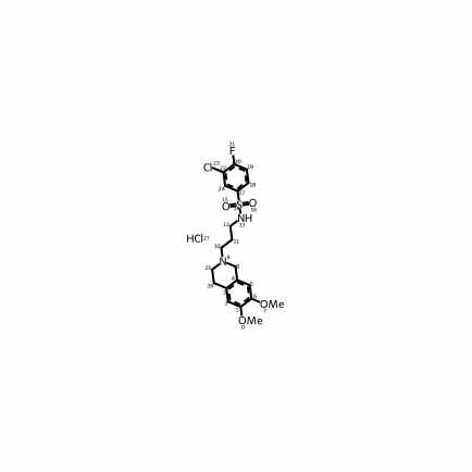 COc1cc2c(cc1OC)CN(CCCNS(=O)(=O)c1ccc(F)c(Cl)c1)CC2.Cl